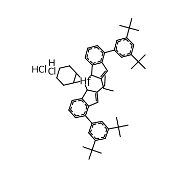 CCC1=Cc2c(-c3cc(C(C)(C)C)cc(C(C)(C)C)c3)cccc2[CH]1[Hf]1([CH]2C(CC)=Cc3c(-c4cc(C(C)(C)C)cc(C(C)(C)C)c4)cccc32)[CH]2CCCC[CH]21.Cl.Cl